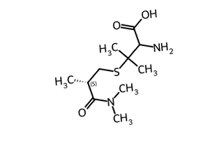 C[C@H](CSC(C)(C)C(N)C(=O)O)C(=O)N(C)C